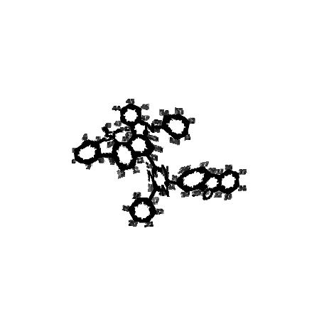 C[Si]1(C)c2ccccc2-c2ccc3c(-c4nc(-c5ccccc5)nc(-c5ccc6c(c5)oc5ccccc56)n4)cc4c(c5ccccc5n4-c4ccccc4)c3c21